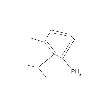 Cc1cccc(P)c1C(C)C